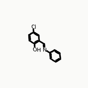 Oc1ccc(Cl)cc1/C=N/c1ccccc1